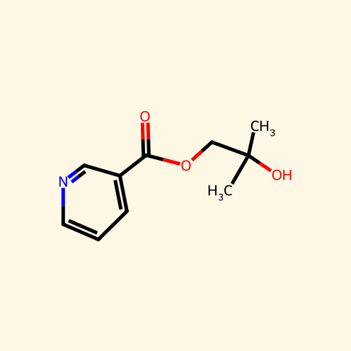 CC(C)(O)COC(=O)c1cccnc1